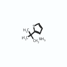 CC(C)(C)c1cccs1.N